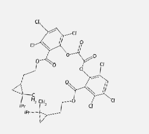 CC(C)C1(C)CC1CCOC(=O)c1c(Cl)c(Cl)cc(Cl)c1OC(=O)C(=O)Oc1c(Cl)cc(Cl)c(Cl)c1C(=O)OCCC1CC1(C)C(C)C